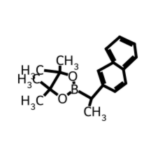 CC(B1OC(C)(C)C(C)(C)O1)c1ccc2ccccc2c1